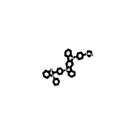 c1ccc(-n2c(-c3ccc(-n4c5ccccc5c5cc6c(cc54)c4ccccc4n6-c4ccc(-n5ccnc5)cc4)cc3)nc3ccccc32)cc1